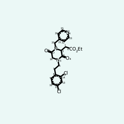 CCOC(=O)CC1C(=O)N(CCc2ccc(Cl)cc2Cl)CC(=O)N1Cc1ccncc1